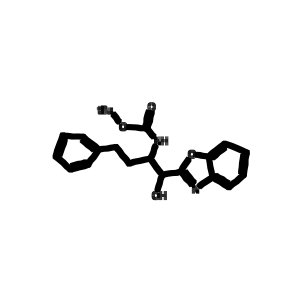 CC(C)(C)OC(=O)NC(CCc1ccccc1)C(O)c1nc2ccccc2o1